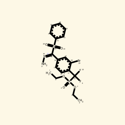 CCOP(=O)(OCC)C(F)(F)c1ccc(/C(=N\N)S(=O)(=O)c2ccccc2)cc1Br